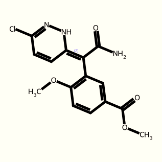 COC(=O)c1ccc(OC)c(/C(C(N)=O)=C2\C=CC(Cl)=NN2)c1